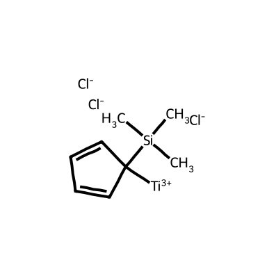 C[Si](C)(C)[C]1([Ti+3])C=CC=C1.[Cl-].[Cl-].[Cl-]